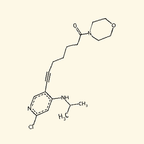 CC(C)Nc1cc(Cl)ncc1C#CCCCCC(=O)N1CCOCC1